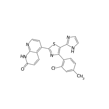 Cc1ccc(-c2nc(-c3ccnc4[nH]c(=O)ccc34)sc2-c2ncc[nH]2)c(Cl)c1